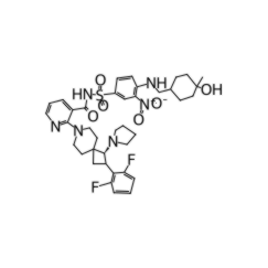 CC1(O)CCC(CNc2ccc(S(=O)(=O)NC(=O)c3cccnc3N3CCC4(CC3)CC(c3c(F)cccc3F)[C@@H]4N3CCCC3)cc2[N+](=O)[O-])CC1